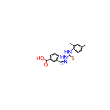 Cc1ccc(NC(=S)N/N=C\c2cccc(C(=O)O)c2)c(C)c1